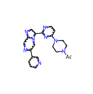 CC(=O)N1CCN(c2ccnc(-c3cnc4cnc(-c5cccnc5)cn34)n2)CC1